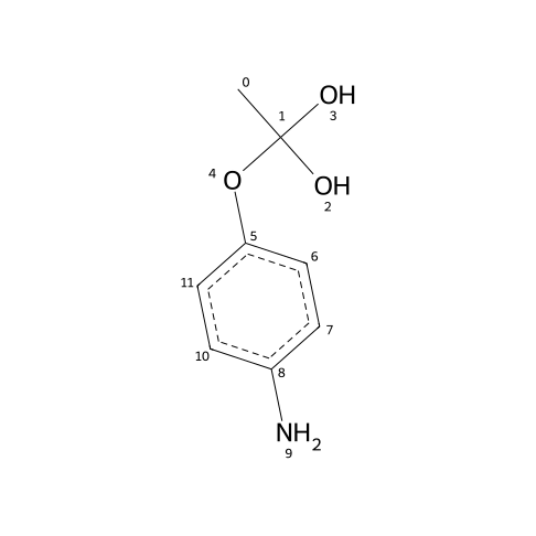 CC(O)(O)Oc1ccc(N)cc1